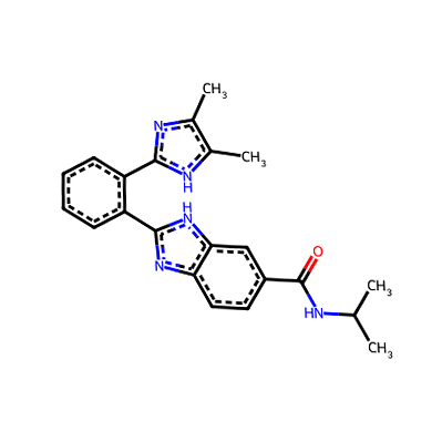 Cc1nc(-c2ccccc2-c2nc3ccc(C(=O)NC(C)C)cc3[nH]2)[nH]c1C